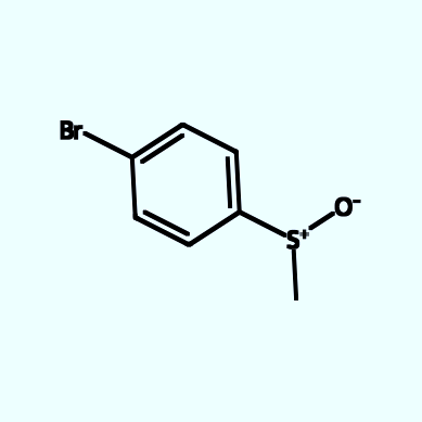 C[S+]([O-])c1ccc(Br)cc1